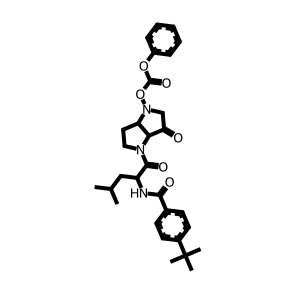 CC(C)CC(NC(=O)c1ccc(C(C)(C)C)cc1)C(=O)N1CCC2C1C(=O)CN2OC(=O)Oc1ccccc1